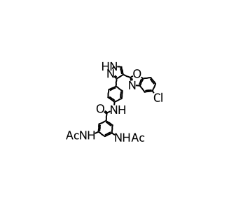 CC(=O)Nc1cc(NC(C)=O)cc(C(=O)Nc2ccc(-c3n[nH]cc3-c3nc4cc(Cl)ccc4o3)cc2)c1